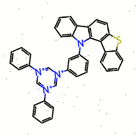 c1ccc(-[n+]2c[n+](-c3ccccc3)c[n+](-c3cccc(-n4c5ccccc5c5ccc6sc7ccccc7c6c54)c3)c2)cc1